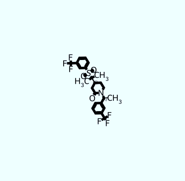 C[C@H](c1cccc(C(F)(F)F)c1)N1CC[C@H](C(C)(C)S(=O)(=O)c2cccc(C(F)(F)F)c2)CC1=O